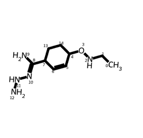 CCNOC1C=CC(/C(N)=N/NN)CC1